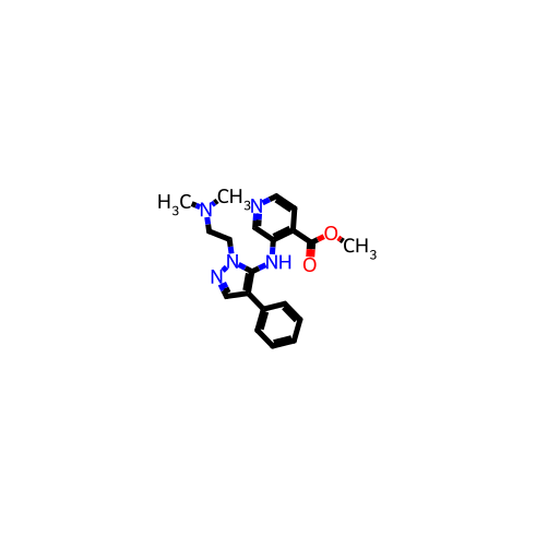 COC(=O)c1ccncc1Nc1c(-c2ccccc2)cnn1CCN(C)C